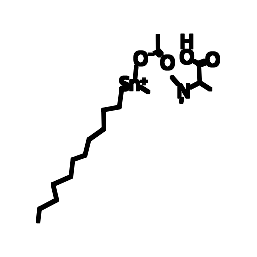 CC(=O)[O-].CC(C(=O)O)N(C)C.CCCCCCCCCCC[CH2][Sn+]([CH3])[CH3]